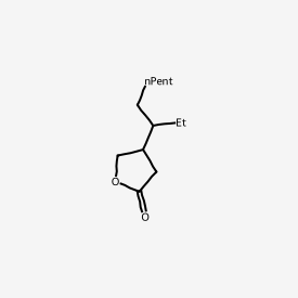 CCCCCCC(CC)C1COC(=O)C1